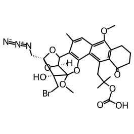 COc1c2c(c(CC(C)(C)OC(=O)O)c3c4c(c(C)cc13)C1O[C@]3(CN=[N+]=[N-])O[C@@H]1C(OC)(O4)[C@@]3(O)CBr)C(=O)CCC2